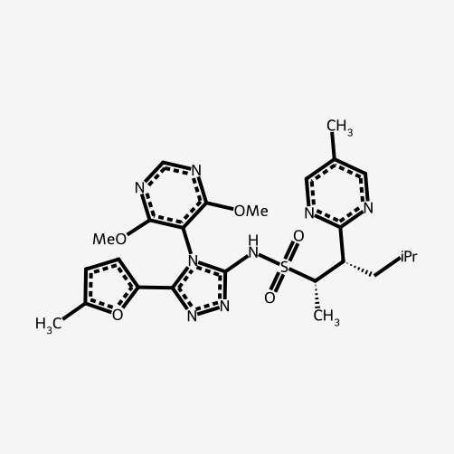 COc1ncnc(OC)c1-n1c(NS(=O)(=O)[C@@H](C)[C@@H](CC(C)C)c2ncc(C)cn2)nnc1-c1ccc(C)o1